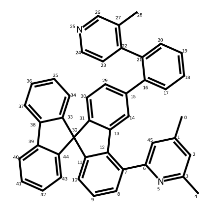 Cc1cc(C)nc(-c2cccc3c2-c2cc(-c4ccccc4-c4ccncc4C)ccc2C32c3ccccc3-c3ccccc32)c1